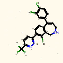 Fc1ccc(C2=CCNCc3c2ccc(-c2ccc(C(F)(F)F)nn2)c3F)cc1F